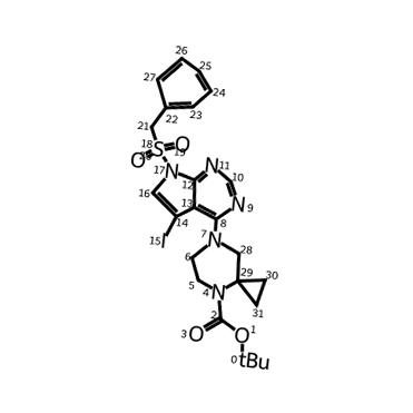 CC(C)(C)OC(=O)N1CCN(c2ncnc3c2c(I)cn3S(=O)(=O)Cc2ccccc2)CC12CC2